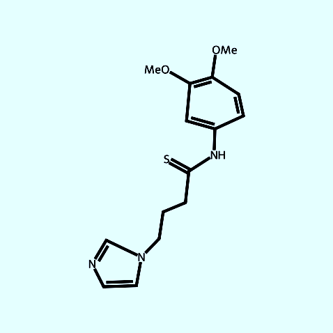 COc1ccc(NC(=S)CCCn2ccnc2)cc1OC